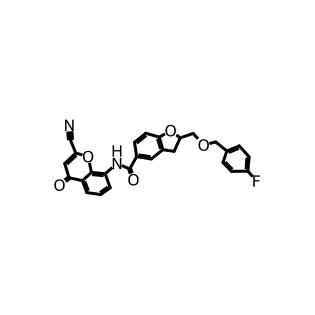 N#Cc1cc(=O)c2cccc(NC(=O)c3ccc4c(c3)CC(COCc3ccc(F)cc3)O4)c2o1